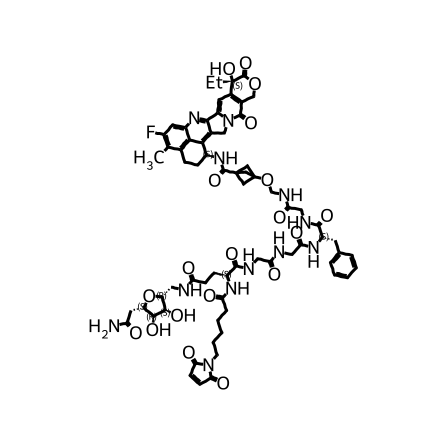 CC[C@@]1(O)C(=O)OCc2c1cc1n(c2=O)Cc2c-1nc1cc(F)c(C)c3c1c2[C@@H](NC(=O)C12CC(OCNC(=O)CNC(=O)[C@H](Cc4ccccc4)NC(=O)CNC(=O)CNC(=O)[C@H](CCC(=O)NC[C@H]4O[C@@H](CC(N)=O)[C@H](O)[C@@H]4O)NC(=O)CCCCCN4C(=O)C=CC4=O)(C1)C2)CC3